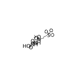 CC(C)(C)OC(=O)N(CCCCCCSC(c1ccccc1)(c1ccccc1)c1ccccc1)CCNC(=O)NCC(=O)O